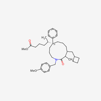 COC(=O)CCCC(C)[C@]1(c2ccccc2)CCCC(CC2CCC2)C(C)C(=O)N(Cc2ccc(OC)cc2)CCC1